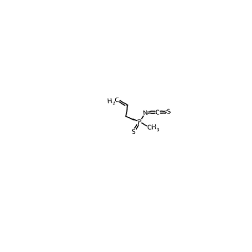 C=CCP(C)(=S)N=C=S